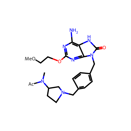 COCCOc1nc(N)c2[nH]c(=O)n(Cc3ccc(CN4CCC(N(C)C(C)=O)C4)cc3)c2n1